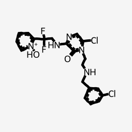 O=c1c(NCC(F)(F)c2cccc[n+]2O)ncc(Cl)n1CCNCc1cccc(Cl)c1